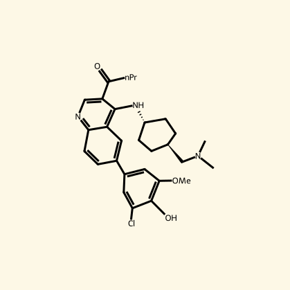 CCCC(=O)c1cnc2ccc(-c3cc(Cl)c(O)c(OC)c3)cc2c1N[C@H]1CC[C@H](CN(C)C)CC1